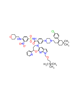 CC1(C)CCC(CCN2CCN(c3ccc(C(=O)NS(=O)(=O)c4ccc(NCC5CCOCC5)c([N+](=O)[O-])c4)c(N4CCC(c5ccccn5)Oc5nc6c(ccn6COCC[Si](C)(C)C)cc54)c3)CC2)=C(c2ccc(Cl)cc2)C1